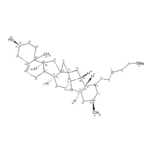 COCCOCCN1C[C@@H](C)C[C@H]2O[C@@]34CC[C@H]5C6CC=C7C[C@@H](O)CCC7(C)[C@H]6CC56CC63C[C@@H]4[C@@H]21